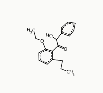 CCCc1cccc(OCC)c1C(=O)C(O)c1ccccc1